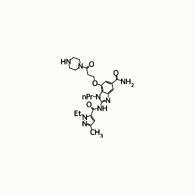 CCCn1c(NC(=O)c2cc(C)nn2CC)nc2cc(C(N)=O)cc(OCCC(=O)N3CCNCC3)c21